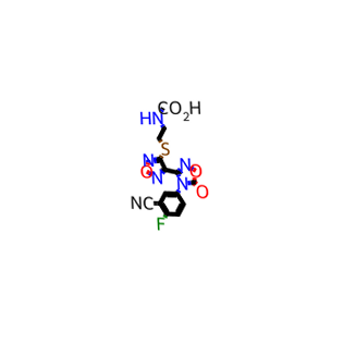 N#Cc1cc(-n2c(-c3nonc3SCCNC(=O)O)noc2=O)ccc1F